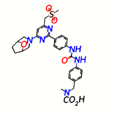 CN(Cc1ccc(NC(=O)Nc2ccc(-c3nc(CS(C)(=O)=O)cc(N4CC5CCC(C4)O5)n3)cc2)cc1)C(=O)O